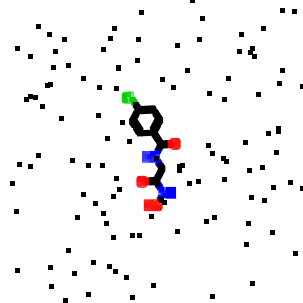 O=C(CNC(=O)c1ccc(Cl)cc1)NO